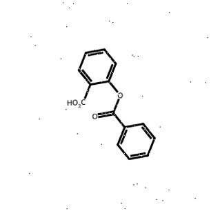 O=C(Oc1ccccc1C(=O)O)c1ccccc1